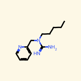 CCCCCN(Cc1ccccn1)C(=N)N